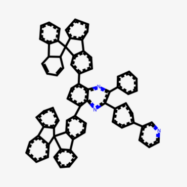 C1=CC2c3ccccc3C3(c4ccccc4-c4ccc(-c5ccc(-c6ccc7c(c6)C6(c8ccccc8-c8ccccc86)c6ccccc6-7)c6nc(-c7ccc(-c8cccnc8)cc7)c(-c7ccccc7)nc56)cc43)C2C=C1